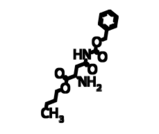 CCCCOC(=O)[C@@H](N)CC(=O)NC(=O)OCc1ccccc1